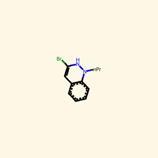 CCCN1NC(Br)=Cc2ccccc21